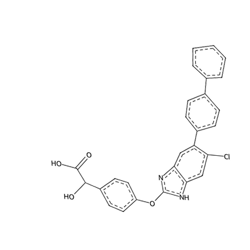 O=C(O)C(O)c1ccc(Oc2nc3cc(-c4ccc(-c5ccccc5)cc4)c(Cl)cc3[nH]2)cc1